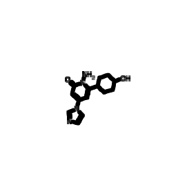 Nn1c(C2CCC(O)CC2)cc(-n2ccnc2)cc1=O